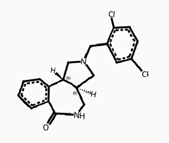 O=C1NC[C@@H]2CN(Cc3cc(Cl)ccc3Cl)C[C@H]2c2ccccc21